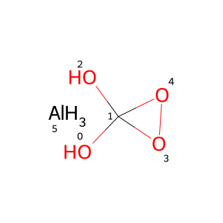 OC1(O)OO1.[AlH3]